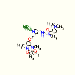 CCN1C(=O)C(C)(C)C(=O)N(C)c2cc(OCCCc3cc(CNCCN(C)C(=O)c4cccc(N(C)C)c4)ccn3)ccc21.Cl.Cl.Cl